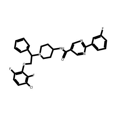 O=C(NC1CCN(C(COc2c(F)ccc(Cl)c2F)c2ccccc2)CC1)c1cnc(-c2cccc(F)c2)nc1